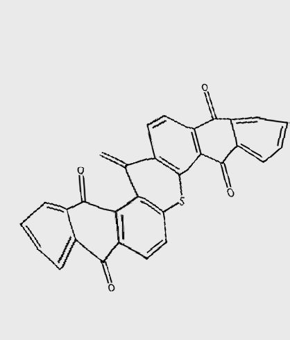 C=C1c2ccc3c(c2Sc2ccc4c(c21)C(=O)c1ccccc1C4=O)C(=O)c1ccccc1C3=O